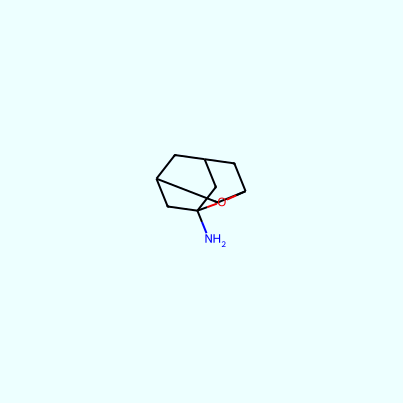 NC12CC3CC(CC(C3)O1)C2